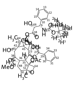 [2H]C([2H])([2H])C(OC(=O)N[C@@H](c1ccccc1)[C@@H](O)C(=O)O[C@H]1C[C@@]2(O)[C@@H](OC(=O)c3ccccc3)[C@H]3[C@](C)(C(=O)[C@H](O)C(=C1C)C2(C)C)[C@@H](OC)C[C@@]1(C)OC[C@@]31OC(C)=O)(C([2H])([2H])[2H])C([2H])([2H])[2H]